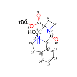 CC(C)(C)OC(=O)C1(C(=O)O)CCN1C(=O)C1NCCc2ccccc21